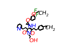 C=Cc1ccc(CCC2=C(NC3C[C@H]3Oc3cccc(OC(F)(F)C=C)c3)C(CCc3ccccn3)C(=O)N(CCCO)C2=O)cc1